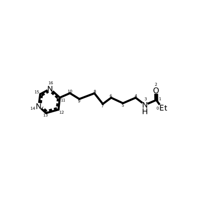 CCC(=O)NCCCCCCCc1ccncn1